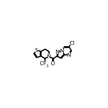 O=C(c1cc2ncc(Cl)cn2n1)N1CCc2sccc2C1C(F)(F)F